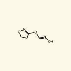 ON=COC1=NOCC1